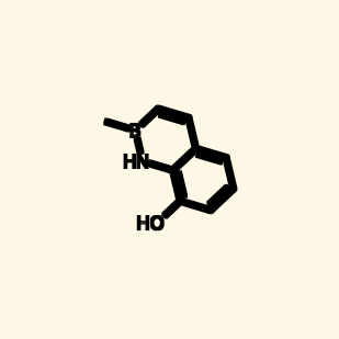 CB1C=Cc2cccc(O)c2N1